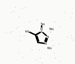 SC1=CN=N[SH]1S.[KH].[KH]